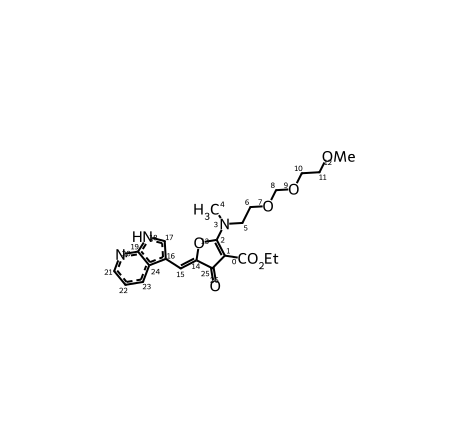 CCOC(=O)C1=C(N(C)CCOCOCCOC)OC(=Cc2c[nH]c3ncccc23)C1=O